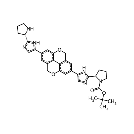 CC(C)(C)OC(=O)N1CCCC1c1ncc(-c2cc3c4c(c2)OCc2cc(-c5cnc([C@@H]6CCCN6)[nH]5)cc(c2-4)OC3)[nH]1